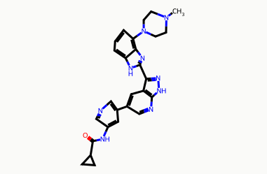 CN1CCN(c2cccc3[nH]c(-c4n[nH]c5ncc(-c6cncc(NC(=O)C7CC7)c6)cc45)nc23)CC1